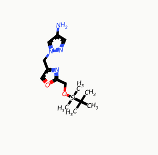 CC(C)(C)[Si](C)(C)OCc1nc(Cn2cc(N)cn2)co1